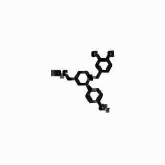 O=C(O)C[C@H]1CCN(Cc2ccc(Cl)c(Cl)c2)[C@@H](c2ccc(C(F)(F)F)cc2)C1